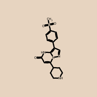 CS(=O)(=O)c1ccc(-c2cnn3c(C4CCNCC4)cc(=O)[nH]c23)cc1